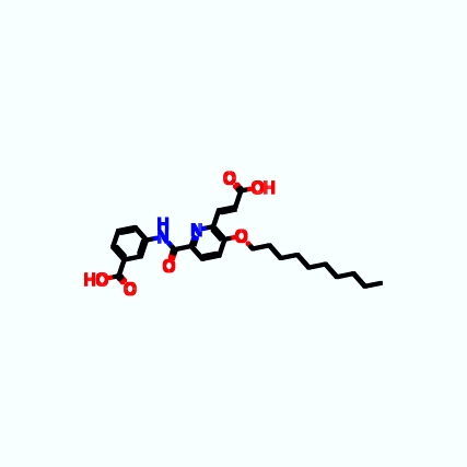 CCCCCCCCCCOc1ccc(C(=O)Nc2cccc(C(=O)O)c2)nc1C=CC(=O)O